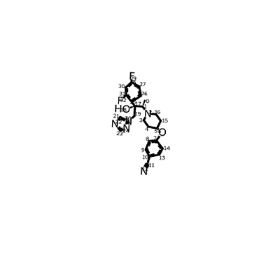 C[C@@H](N1CCC(Oc2ccc(C#N)cc2)CC1)[C@](O)(Cn1cncn1)c1ccc(F)cc1F